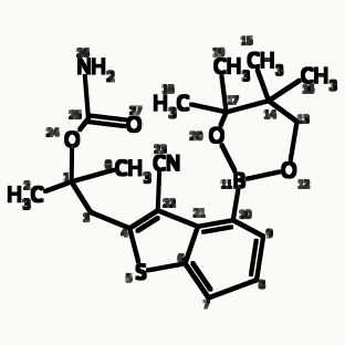 CC(C)(Cc1sc2cccc(B3OCC(C)(C)C(C)(C)O3)c2c1C#N)OC(N)=O